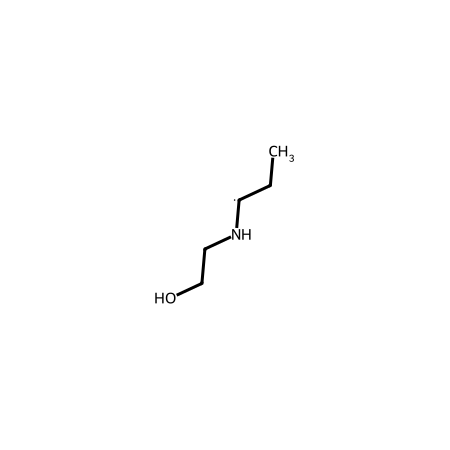 CC[CH]NCCO